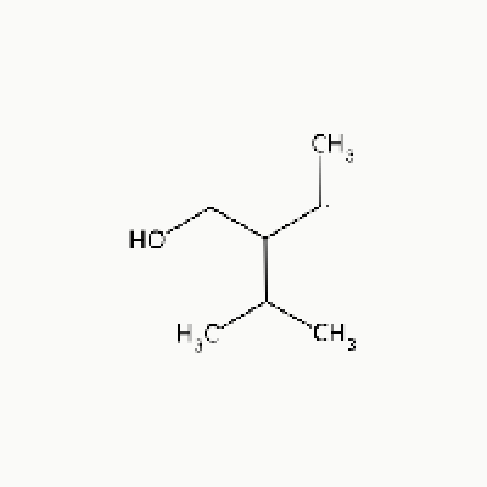 C[CH]C(CO)C(C)C